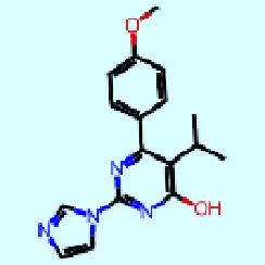 COc1ccc(-c2nc(-n3ccnc3)nc(O)c2C(C)C)cc1